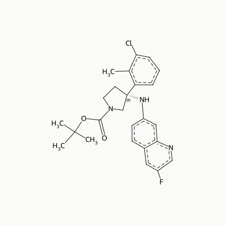 Cc1c(Cl)cccc1[C@]1(Nc2ccc3cc(F)cnc3c2)CCN(C(=O)OC(C)(C)C)C1